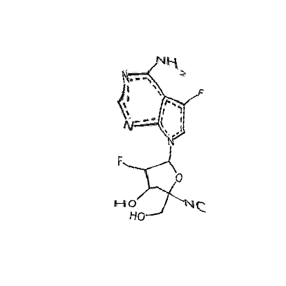 [C-]#[N+]C1(CO)OC(n2cc(F)c3c(N)ncnc32)C(F)C1O